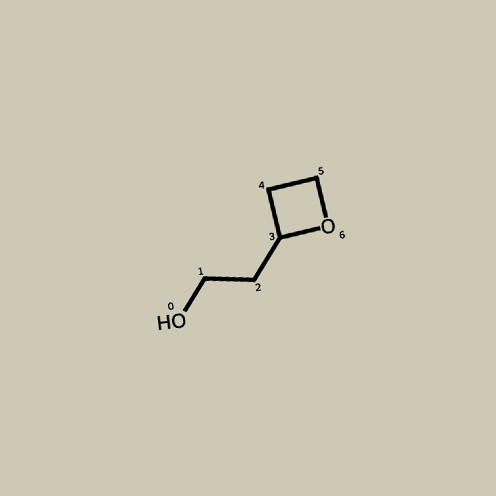 OCCC1CCO1